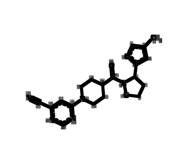 Cc1coc(C2CCON2C(=O)C2CCN(c3cc(C#N)ncn3)CC2)c1